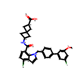 COc1cc(F)cc(-c2ccc(Cn3ccc4c(F)ccc(C(=O)NC5CC6(C5)CC(C(=O)O)C6)c43)cc2)c1